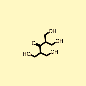 O=C(C(CO)CO)C(CO)CO